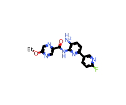 CCOc1cnc(C(=O)Nc2nc(-c3ccc(F)nc3)ccc2N)cn1